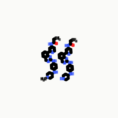 C=CC(=O)Nc1ccnc(-c2cccc3cnc(Nc4ccc(NC5CCN(C)CC5)cc4)nc23)c1.C=CC(=O)Nc1ccnc(-c2cccc3cnc(Nc4ccc(NC5CCNCC5)cc4)nc23)c1